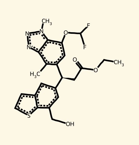 CCOC(=O)C[C@@H](c1cc(CO)c2sccc2c1)c1cc(OC(F)F)c2c(nnn2C)c1C